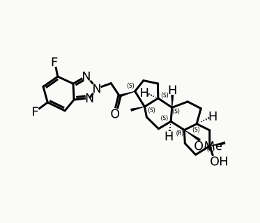 COC[C@]12CC[C@@](C)(O)C[C@@H]1CC[C@H]1[C@@H]3CC[C@H](C(=O)Cn4nc5cc(F)cc(F)c5n4)[C@@]3(C)CC[C@@H]12